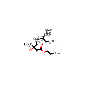 CCCCCCCCCCCCOC(=O)CC(O)(CC(=O)O)C(=O)O.O=C([O-])CC(C(=O)[O-])S(=O)(=O)O.[Na+].[Na+]